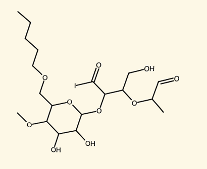 CCCCCOCC1OC(OC(C(=O)I)C(CO)OC(C)C=O)C(O)C(O)C1OC